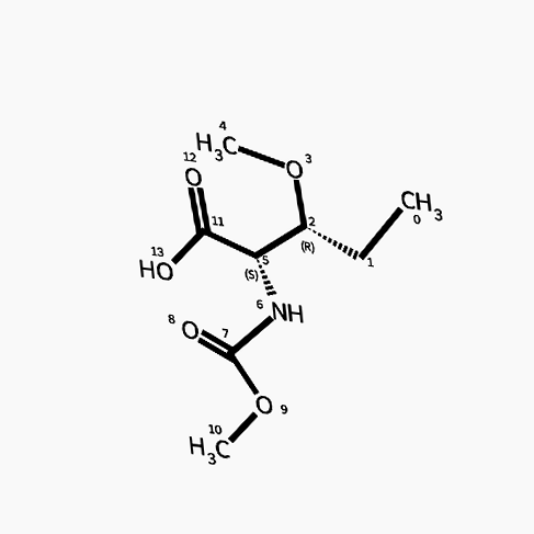 CC[C@@H](OC)[C@H](NC(=O)OC)C(=O)O